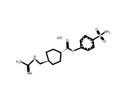 Cl.N=C(N)NC[C@H]1CC[C@H](C(=O)Oc2ccc(S(N)(=O)=O)cc2)CC1